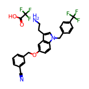 N#Cc1cccc(COc2ccc3c(c2)c(CCN)cn3Cc2ccc(C(F)(F)F)cc2)c1.O=C(O)C(F)(F)F